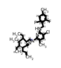 C=CCC(C#N)[C@@H](C=C)[C@H](C)C(CC)C/C=N/c1nc(NCc2c(F)cc(C)cc2F)c(Cl)cc1C